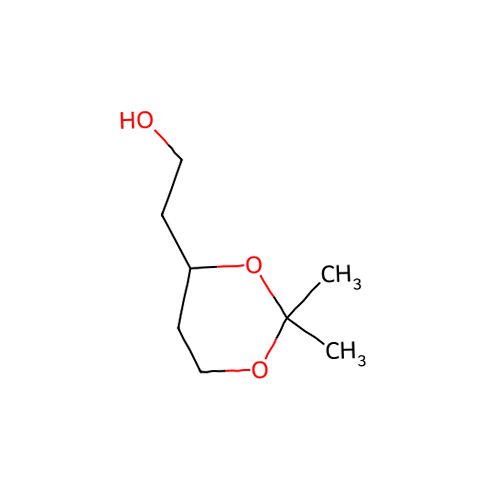 CC1(C)OCCC(CCO)O1